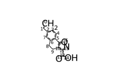 C=Cc1ccc2c(c1)CCc1c(C(=O)O)noc1-2